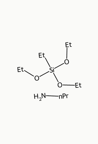 CCCN.CCO[Si](CC)(OCC)OCC